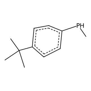 CPc1ccc(C(C)(C)C)cc1